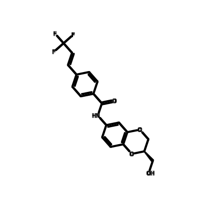 O=C(Nc1ccc2c(c1)OC[C@@H](CO)O2)c1ccc(/C=C/C(F)(F)F)cc1